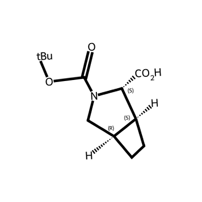 CC(C)(C)OC(=O)N1C[C@@H]2CC[C@@H]2[C@H]1C(=O)O